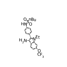 CCCCS(=O)(=O)Nc1ccc(-c2c(N)c3ccc(OC(F)(F)F)cc3n2CC)cc1